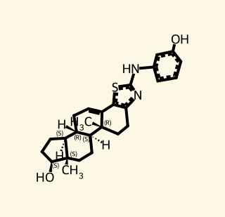 C[C@]12CC[C@H]3[C@@H](CC=C4c5sc(Nc6cccc(O)c6)nc5CC[C@@]43C)[C@@H]1CC[C@@H]2O